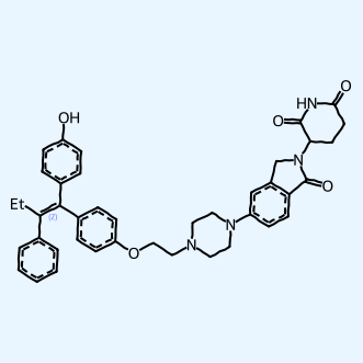 CC/C(=C(\c1ccc(O)cc1)c1ccc(OCCN2CCN(c3ccc4c(c3)CN(C3CCC(=O)NC3=O)C4=O)CC2)cc1)c1ccccc1